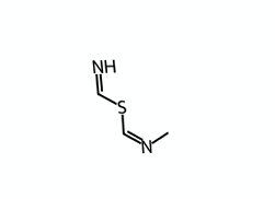 C/N=C\SC=N